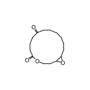 O=C1CCCCCCC2OC2CCOC(=O)CCC1